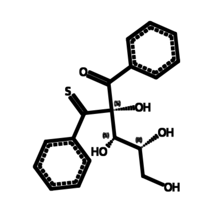 O=C(c1ccccc1)[C@](O)(C(=S)c1ccccc1)[C@@H](O)[C@H](O)CO